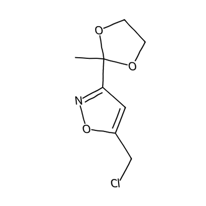 CC1(c2cc(CCl)on2)OCCO1